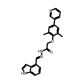 Cc1cc(-c2cccnc2)cc(C)c1OCC(=O)NN=Cc1cccc2[nH]ccc12